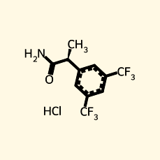 C[C@H](C(N)=O)c1cc(C(F)(F)F)cc(C(F)(F)F)c1.Cl